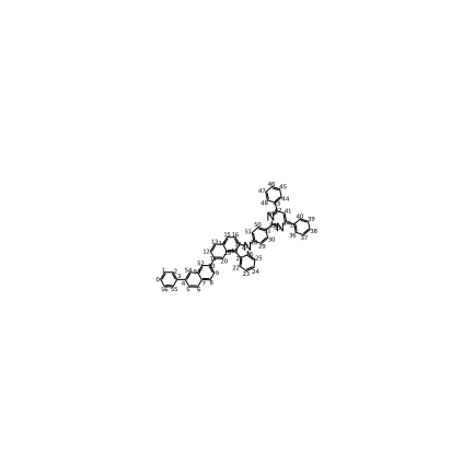 c1ccc(-c2ccc3ccc(-c4ccc5ccc6c(c5c4)c4ccccc4n6-c4ccc(-c5nc(-c6ccccc6)cc(-c6ccccc6)n5)cc4)cc3c2)cc1